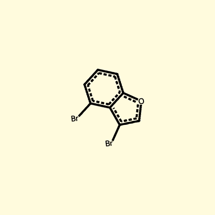 Brc1cccc2occ(Br)c12